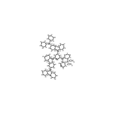 CC1(C)c2ccccc2N(c2cc(-n3c4ccccc4c4cc(N(c5ccccc5)c5ccccc5)ccc43)cc(-n3c4ccccc4c4cc(-n5c6ccccc6c6ccccc65)ccc43)n2)c2cnccc21